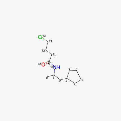 CC(CC1CCCC1)NC(=O)CCCCl